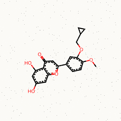 COc1ccc(-c2cc(=O)c3c(O)cc(O)cc3o2)cc1OCC1CC1